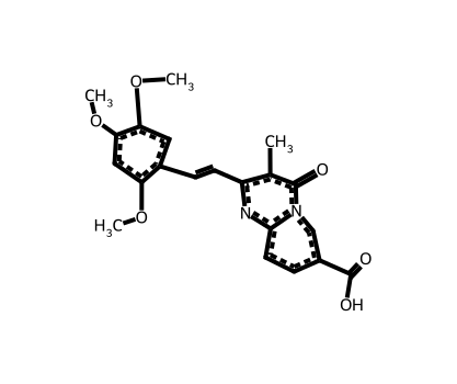 COc1cc(OC)c(OC)cc1C=Cc1nc2ccc(C(=O)O)cn2c(=O)c1C